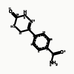 NC(=O)c1ccc(C2=NNC(=O)SC2)cc1